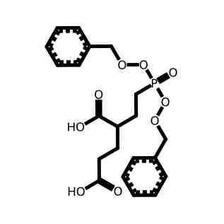 O=C(O)CCC(CCP(=O)(OOCc1ccccc1)OOCc1ccccc1)C(=O)O